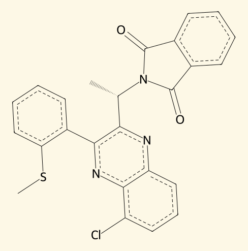 CSc1ccccc1-c1nc2c(Cl)cccc2nc1[C@H](C)N1C(=O)c2ccccc2C1=O